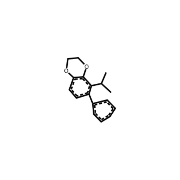 CC(C)c1c(-c2ccccc2)ccc2c1OCCO2